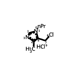 CCCn1cnc(C)c1CCl.Cl